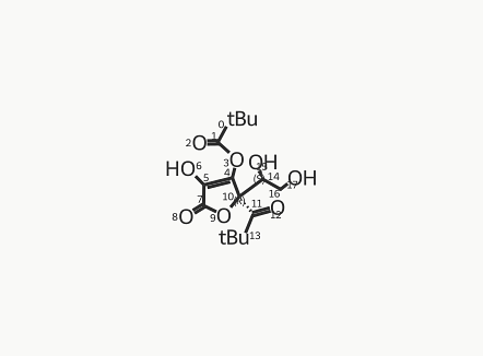 CC(C)(C)C(=O)OC1=C(O)C(=O)O[C@]1(C(=O)C(C)(C)C)[C@@H](O)CO